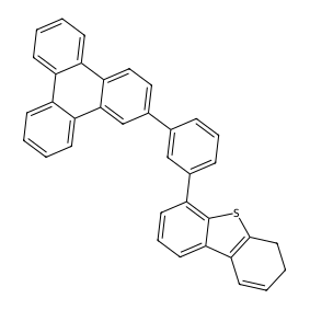 C1=Cc2c(sc3c(-c4cccc(-c5ccc6c7ccccc7c7ccccc7c6c5)c4)cccc23)CC1